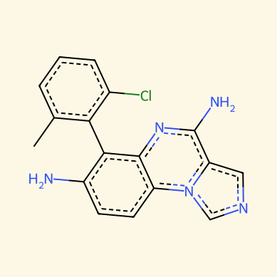 Cc1cccc(Cl)c1-c1c(N)ccc2c1nc(N)c1cncn12